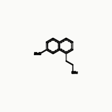 COc1ccc2cccc(CCOC(C)=O)c2c1